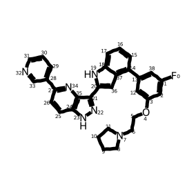 Fc1cc(OCCN2CCCC2)cc(-c2cccc3[nH]c(-c4n[nH]c5ccc(-c6cccnc6)nc45)cc23)c1